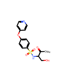 COC(=O)C(CO)NS(=O)(=O)c1ccc(Oc2ccncc2)cc1